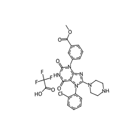 COC(=O)c1cccc(-n2c(=O)[nH]c(=O)c3c2nc(N2CCNCC2)n3-c2ccccc2Cl)c1.O=C(O)C(F)(F)F